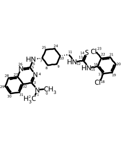 CN(C)c1nc(N[C@H]2CC[C@@H](CNC(=S)Nc3c(Cl)cccc3Cl)CC2)nc2ccccc12